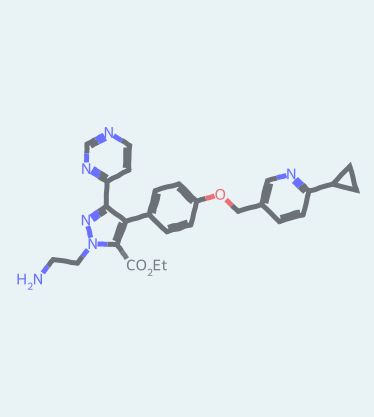 CCOC(=O)c1c(-c2ccc(OCc3ccc(C4CC4)nc3)cc2)c(-c2ccncn2)nn1CCN